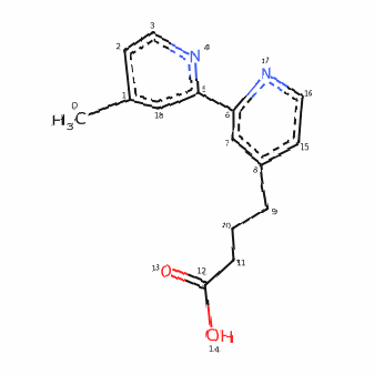 Cc1ccnc(-c2cc(CCCC(=O)O)ccn2)c1